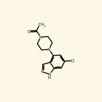 CC(=O)N1CCN(c2cc(Cl)cc3[nH]ncc23)CC1